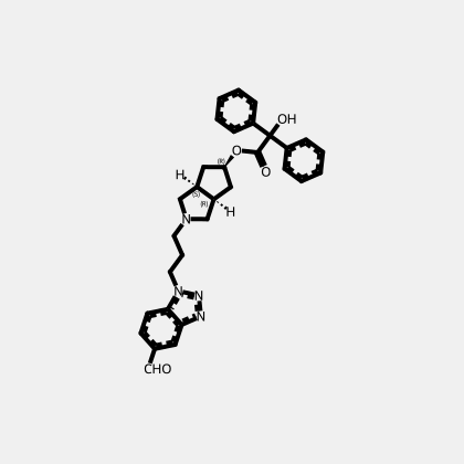 O=Cc1ccc2c(c1)nnn2CCCN1C[C@H]2C[C@@H](OC(=O)C(O)(c3ccccc3)c3ccccc3)C[C@H]2C1